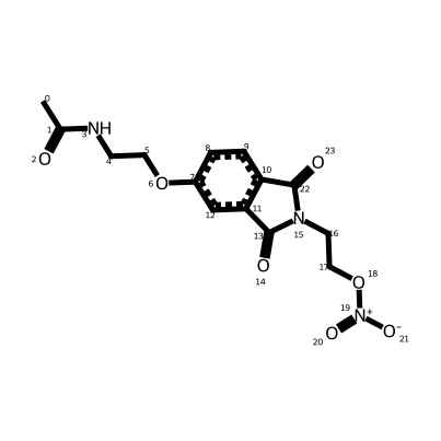 CC(=O)NCCOc1ccc2c(c1)C(=O)N(CCO[N+](=O)[O-])C2=O